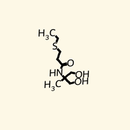 CCSCCC(=O)NC(C)(CO)CO